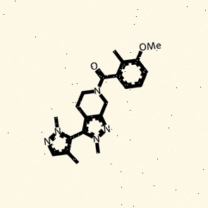 COc1cccc(C(=O)N2CCc3c(nn(C)c3-c3c(C)cnn3C)C2)c1C